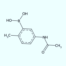 CC(=O)Nc1ccc(C)c(B(O)O)c1